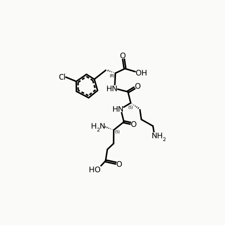 NCCC[C@H](NC(=O)[C@@H](N)CCC(=O)O)C(=O)N[C@H](Cc1cccc(Cl)c1)C(=O)O